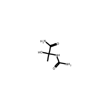 CC(O)(NC(N)=O)C(N)=O